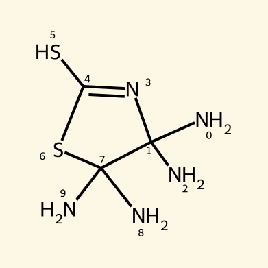 NC1(N)N=C(S)SC1(N)N